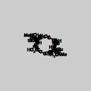 CN[C@@H](C)C(=O)N[C@H](C(=O)N1CC[C@@H]2[C@H]1C(=O)N[C@@H](Cc1ccc3ccccc3c1)C(=O)N[C@H](C(=O)O)Cc1ccc(cc1)OCc1cn(nn1)[C@@H]1CCN(C(=O)[C@@H](NC(=O)[C@H](C)NC)C(C)(C)C)[C@@H]1C(=O)N[C@@H](Cc1ccc3ccccc3c1)C(=O)N[C@H](c1n[nH]c(=O)o1)Cc1ccc(cc1)OCc1cn2nn1)C(C)(C)C